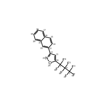 FC(F)(F)C(F)(F)C(F)(F)c1cc(-c2ccc3ccccc3c2)no1